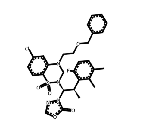 Cc1ccc(F)c([C@@H](C)[C@H](N2CN(CCOCc3ccccc3)c3cc(Cl)ccc3S2(=O)=O)n2ncoc2=O)c1C